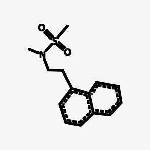 CN(CCc1cccc2ccccc12)S(C)(=O)=O